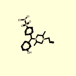 C=CCN1CC(C)N(C(c2ccc(S(=O)(=O)N(CC)CC)cc2)c2cccc(O)c2)CC1C